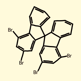 Brc1cc(Br)c2c(c1)C1(c3ccccc3-2)c2ccccc2-c2c(Br)cc(Br)cc21